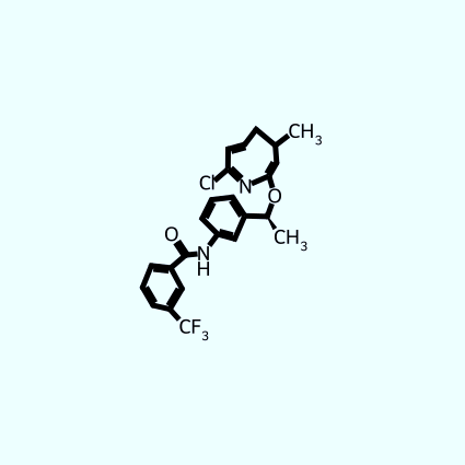 CC1\C=C(O[C@@H](C)c2cccc(NC(=O)c3cccc(C(F)(F)F)c3)c2)/N=C(Cl)\C=C\C1